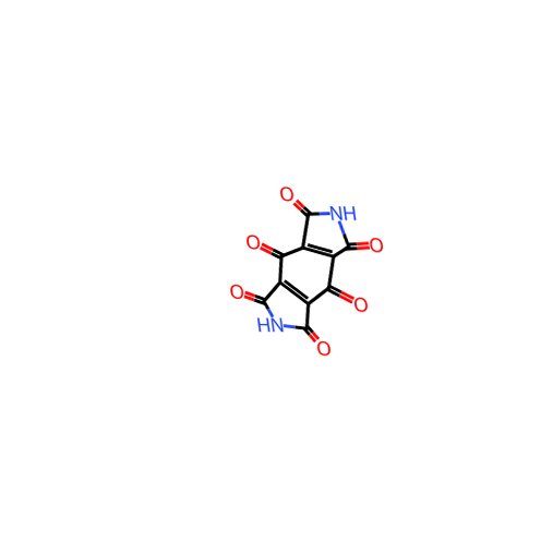 O=c1[nH]c(=O)c2c(=O)c3c(=O)[nH]c(=O)c3c(=O)c12